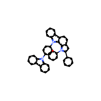 c1ccc(-c2cc3ccc4c5ccccc5n(-c5ccc(-n6c7ccccc7c7ccccc76)cc5)c4c3n2-c2ccccc2)cc1